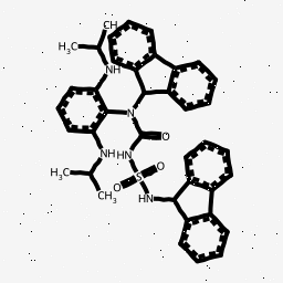 CC(C)Nc1cccc(NC(C)C)c1N(C(=O)NS(=O)(=O)NC1c2ccccc2-c2ccccc21)C1c2ccccc2-c2ccccc21